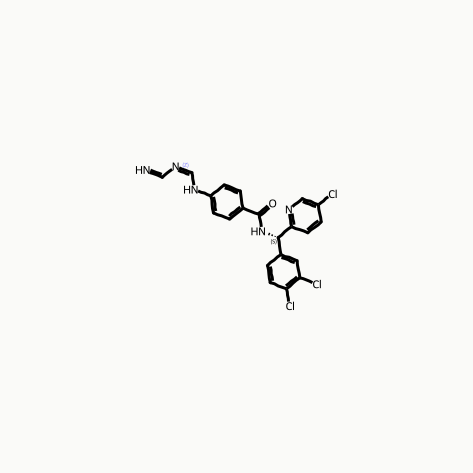 N=C/N=C\Nc1ccc(C(=O)N[C@@H](c2ccc(Cl)c(Cl)c2)c2ccc(Cl)cn2)cc1